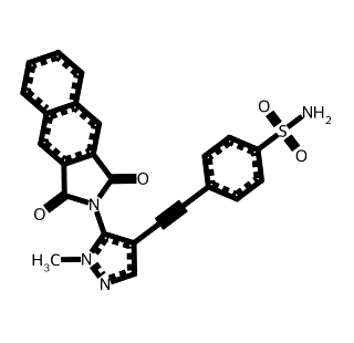 Cn1ncc(C#Cc2ccc(S(N)(=O)=O)cc2)c1N1C(=O)c2cc3ccccc3cc2C1=O